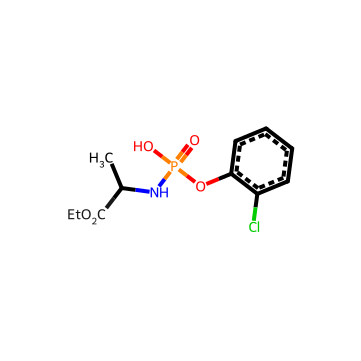 CCOC(=O)C(C)NP(=O)(O)Oc1ccccc1Cl